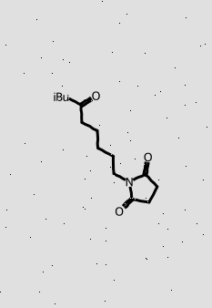 CCC(C)C(=O)CCCCCN1C(=O)CCC1=O